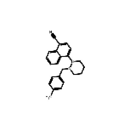 Cc1ccc(CN2CCCCN2c2ccc(C#N)c3ccccc23)cc1